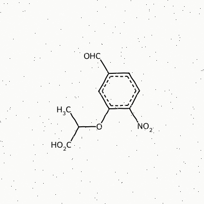 CC(Oc1cc(C=O)ccc1[N+](=O)[O-])C(=O)O